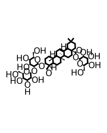 CC1(C)CC[C@]2(C(=O)O[C@@H]3O[C@H](CO)[C@@H](O)[C@H](O)[C@H]3O)CC[C@]3(C)C(=CC[C@@H]4[C@@]5(C)CC[C@H](O[C@@H]6O[C@H](CO)[C@@H](O)[C@H](O)[C@H]6O[C@@H]6O[C@H](CO)[C@@H](O)[C@H](O)[C@H]6O)[C@@](C)(C=O)[C@@H]5CC[C@]43C)[C@@H]2C1